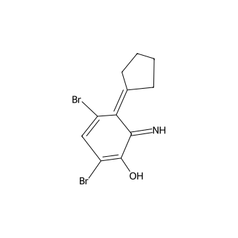 N=C1C(O)=C(Br)C=C(Br)C1=C1CCCC1